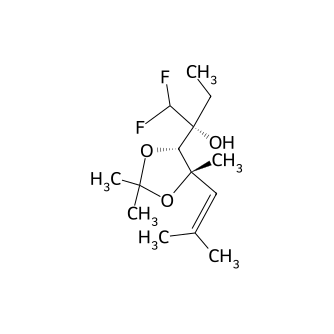 CC[C@](O)(C(F)F)[C@H]1OC(C)(C)O[C@@]1(C)C=C(C)C